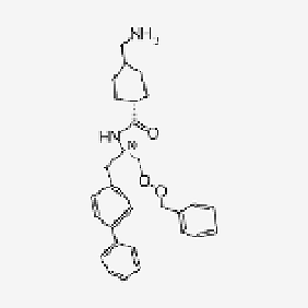 NC[C@H]1CC[C@H](C(=O)N[C@H](COOCc2ccccc2)Cc2ccc(-c3ccccc3)cc2)CC1